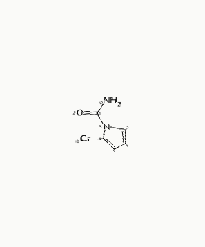 NC(=O)n1cccc1.[Cr]